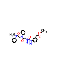 CCOC(=O)Cc1cccc(NC(=O)NCC(=O)N(CC(=O)N(C)c2ccccc2)c2ccccc2)c1